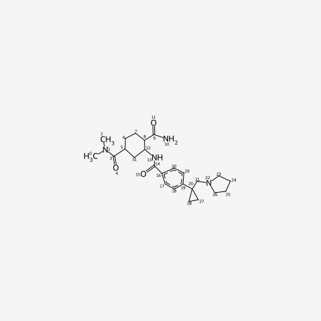 CN(C)C(=O)C1CCC(C(N)=O)C(NC(=O)c2ccc(C3(CN4CCCC4)CC3)cc2)C1